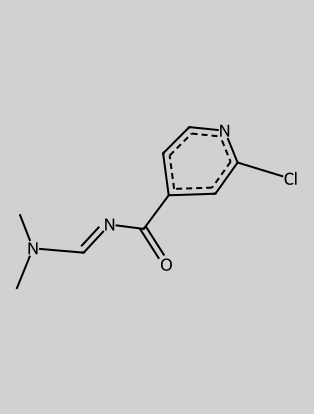 CN(C)C=NC(=O)c1ccnc(Cl)c1